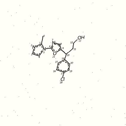 Cc1nccn1-c1ncc(C(CCO)c2ccc(Cl)cc2)o1